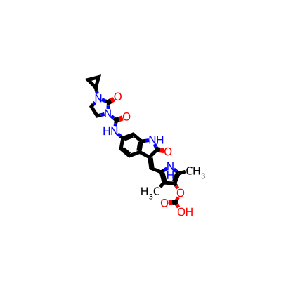 Cc1[nH]c(/C=C2\C(=O)Nc3cc(NC(=O)N4CCN(C5CC5)C4=O)ccc32)c(C)c1OC(=O)O